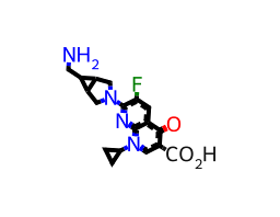 NCC1C2CN(c3nc4c(cc3F)c(=O)c(C(=O)O)cn4C3CC3)CC12